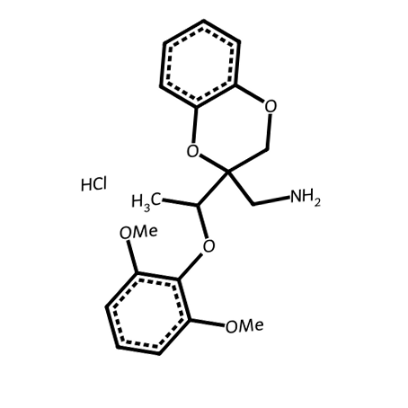 COc1cccc(OC)c1OC(C)C1(CN)COc2ccccc2O1.Cl